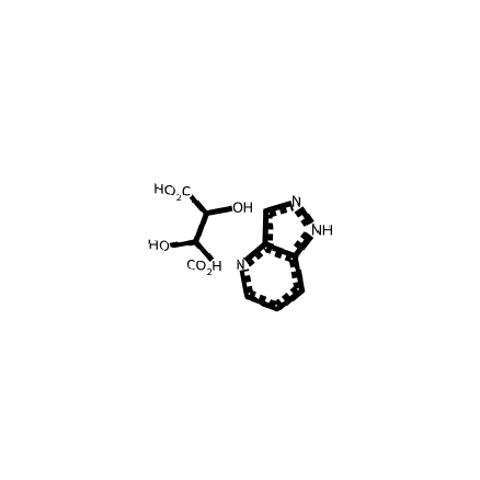 O=C(O)C(O)C(O)C(=O)O.c1cnc2cn[nH]c2c1